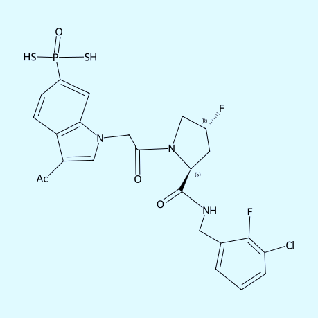 CC(=O)c1cn(CC(=O)N2C[C@H](F)C[C@H]2C(=O)NCc2cccc(Cl)c2F)c2cc(P(=O)(S)S)ccc12